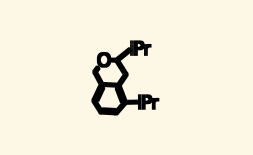 CC(C)c1cccc2c1CC(C(C)C)OC2